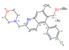 CC(=O)[C@@H](OC(C)(C)C)c1c(C)cc2nc(CN3CCOCC3)ccc2c1-c1ccc(Cl)cc1